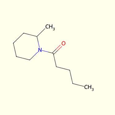 CCCCC(=O)N1CCCCC1C